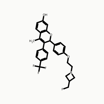 CC1=C(c2ccc(C(F)(F)F)cc2)C(c2ccc(OCCN3CC(CF)C3)cc2)Oc2cc(O)ccc21